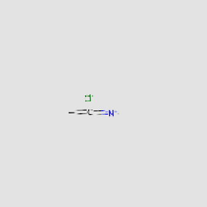 C=C=[N+].[Cl-]